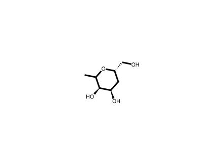 CC1O[C@H](CO)C[C@@H](O)[C@H]1O